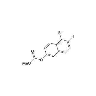 COC(=O)Oc1ccc2c(Br)c(I)ccc2c1